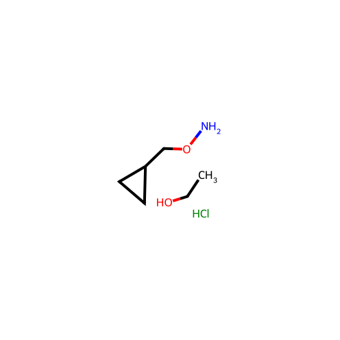 CCO.Cl.NOCC1CC1